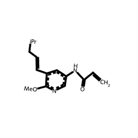 C=CC(=O)Nc1cnc(OC)c(C=CCC(C)C)c1